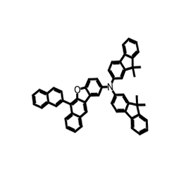 CC1(C)c2ccccc2-c2ccc(N(c3ccc4c(c3)C(C)(C)c3ccccc3-4)c3ccc4oc5c(-c6ccc7ccccc7c6)c6ccccc6cc5c4c3)cc21